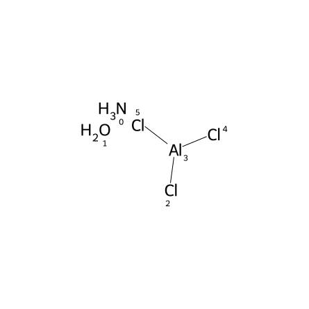 N.O.[Cl][Al]([Cl])[Cl]